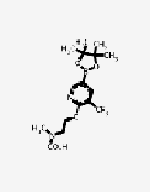 CN(CCOc1ncc(B2OC(C)(C)C(C)(C)O2)cc1C(F)(F)F)C(=O)O